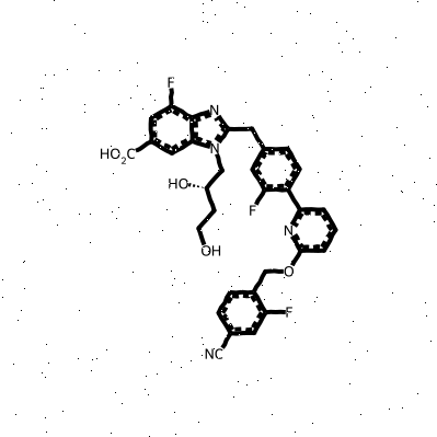 N#Cc1ccc(COc2cccc(-c3ccc(Cc4nc5c(F)cc(C(=O)O)cc5n4C[C@@H](O)CCO)cc3F)n2)c(F)c1